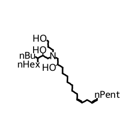 CCCCC/C=C\C/C=C\CCCCCCC[C@H](O)CN(CCCO)C[C@H](O)C(CCCC)CCCCCC